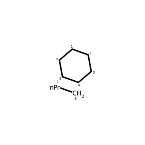 C1CCCCC1.[CH2]CCC